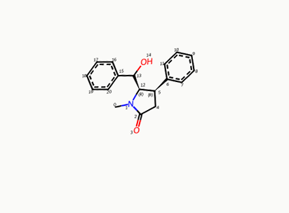 CN1C(=O)C[C@H](c2ccccc2)[C@@H]1C(O)c1ccccc1